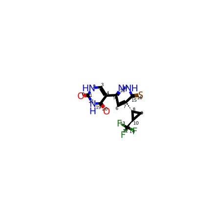 O=c1[nH]cc(-c2cc([C@@H]3C[C@H]3C(F)(F)F)c(=S)[nH]n2)c(=O)[nH]1